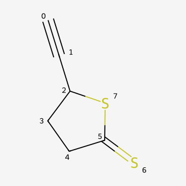 C#CC1CCC(=S)S1